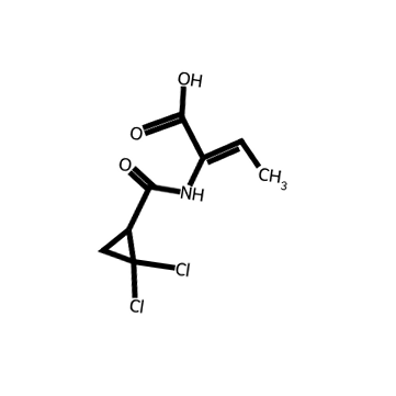 C/C=C(\NC(=O)C1CC1(Cl)Cl)C(=O)O